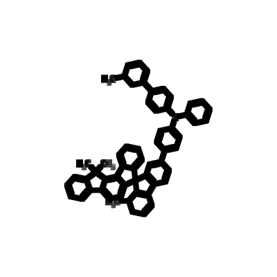 CC1C=CC=C(c2ccc(N(c3ccccc3)c3ccc(-c4ccc5c(c4)C4(C6=C5C=CCC6C)c5ccccc5-c5c4ccc4c5C(C)(C)c5ccccc5-4)cc3)cc2)C1